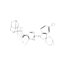 CCc1ccc2c(c1)C1(CCOCC1)CN2c1ncc(C(=O)NC2(C(=O)O)C3CC4CC(C3)CC2C4)c(C(F)(F)F)n1